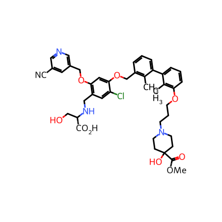 COC(=O)C1(O)CCN(CCCOc2cccc(-c3cccc(COc4cc(OCc5cncc(C#N)c5)c(CNC(CO)C(=O)O)cc4Cl)c3C)c2C)CC1